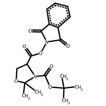 CC(C)(C)OC(=O)N1C(C(=O)ON2C(=O)c3ccccc3C2=O)COC1(C)C